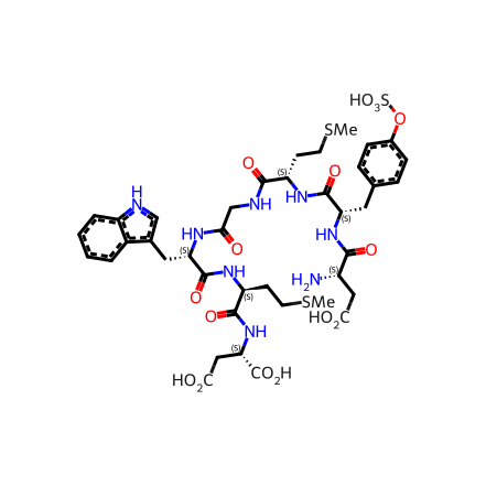 CSCC[C@H](NC(=O)[C@H](Cc1ccc(OS(=O)(=O)O)cc1)NC(=O)[C@@H](N)CC(=O)O)C(=O)NCC(=O)N[C@@H](Cc1c[nH]c2ccccc12)C(=O)N[C@@H](CCSC)C(=O)N[C@@H](CC(=O)O)C(=O)O